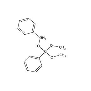 CO[Si](OC)(O[SiH2]c1ccccc1)c1ccccc1